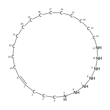 C1=CCCCNNNNNNNCCCCCCCCCCCCC1